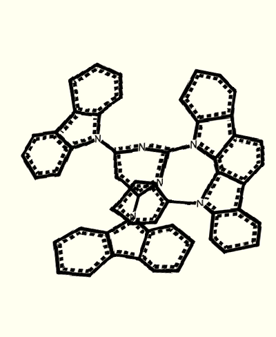 c1ccc(-n2c3ccccc3c3ccc4c5ccccc5n(-c5nc(-n6c7ccccc7c7ccccc76)cc(-n6c7ccccc7c7ccccc76)n5)c4c32)cc1